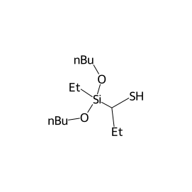 CCCCO[Si](CC)(OCCCC)C(S)CC